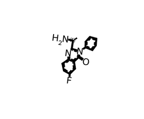 C[C@H](N)c1nc2ccc(F)cc2c(=O)n1-c1ccccc1